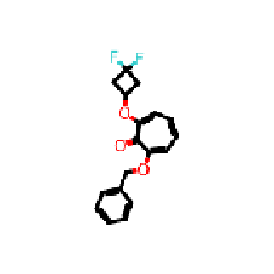 O=c1c(OCc2ccccc2)ccccc1OC1CC(F)(F)C1